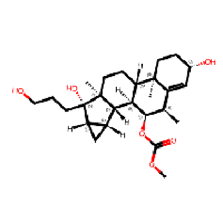 COC(=O)O[C@H]1[C@H]2[C@@H]3[C@@H]4C[C@@H]4[C@@](O)(CCCO)[C@@]3(C)CC[C@@H]2[C@@]2(C)CC[C@H](O)C=C2[C@H]1C